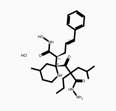 CCCC(CC(C)C)(C(=O)NN)C(=O)[C@]1([C@H](C/C=C/c2ccccc2)C(=O)NO)CC(C)CCN1.Cl